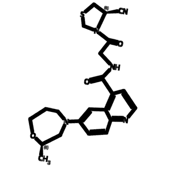 C[C@@H]1CN(c2ccc3nccc(C(=O)NCC(=O)N4CSC[C@H]4C#N)c3c2)CCCO1